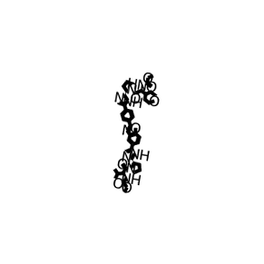 COC(=O)N[C@H](C(=O)N1CCC[C@H]1c1ncc(-c2ccc3oc(-c4ccc(-c5cnc([C@@H]6CCCN6C(=O)[C@@H](NC(=O)OC)C6CCOCC6)[nH]5)cc4)nc3c2)[nH]1)C(C)C